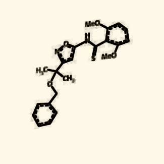 COc1cccc(OC)c1C(=S)Nc1cc(C(C)(C)OCc2ccccc2)no1